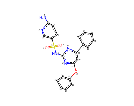 Nc1ccc(S(=O)(=O)Nc2nc(Oc3ccccc3)cc(-c3ccccc3)n2)cn1